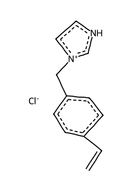 C=Cc1ccc(C[n+]2cc[nH]c2)cc1.[Cl-]